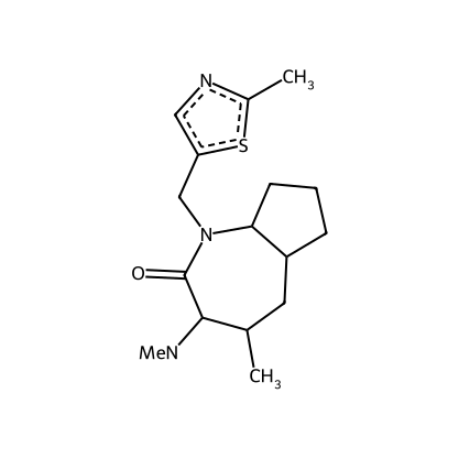 CNC1C(=O)N(Cc2cnc(C)s2)C2CCCC2CC1C